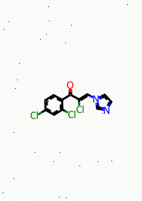 O=C(C(Cl)=Cn1ccnc1)c1ccc(Cl)cc1Cl